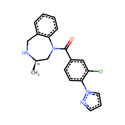 C[C@@H]1CN(C(=O)c2ccc(-n3cccn3)c(Cl)c2)c2ccccc2CN1